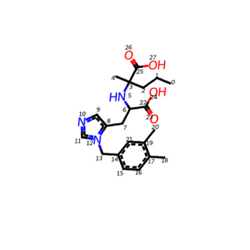 CCCC(C)(NC(Cc1cncn1Cc1ccc(C)c(C)c1)C(=O)O)C(=O)O